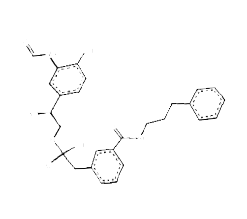 CC(C)(Cc1cccc(C(=O)NCCCc2ccccc2)c1)NC[C@@H](O)c1ccc(O)c(NC=O)c1